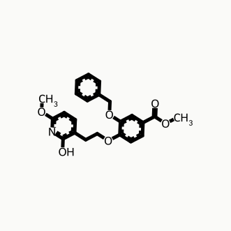 COC(=O)c1ccc(OCCc2ccc(OC)nc2O)c(OCc2ccccc2)c1